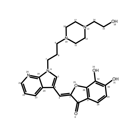 O=C1C(=Cc2cn(CCCN3CCN(CCO)CC3)c3ncccc23)Oc2c1ccc(O)c2O